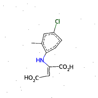 Cc1cc(Cl)ccc1N/C(=C\C(=O)O)C(=O)O